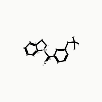 CC(C)(C)Cc1cccc(C(=O)N2CCc3ccccc32)c1